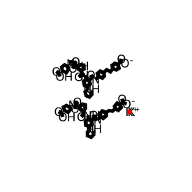 CN([C@H]1CC[C@H](C(=O)O)CC1)S(=O)(=O)c1cccc(C(=O)Nc2ccc(N3CCCCC3)cc2C(=O)Nc2ccc(CCc3ccc(C(=O)[O-])cc3)cc2)c1.CN([C@H]1CC[C@H](C(=O)O)CC1)S(=O)(=O)c1cccc(C(=O)Nc2ccc(N3CCCCC3)cc2C(=O)Nc2ccc(CCc3ccc(C(=O)[O-])cc3)cc2)c1.[K+].[K+]